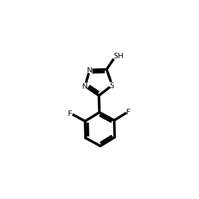 Fc1cccc(F)c1-c1nnc(S)s1